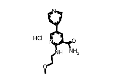 COCCNc1ncc(-c2ccncc2)cc1C(N)=O.Cl